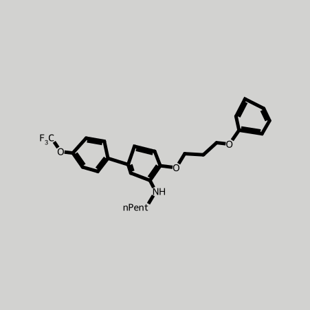 CCCCCNc1cc(-c2ccc(OC(F)(F)F)cc2)ccc1OCCCOc1ccccc1